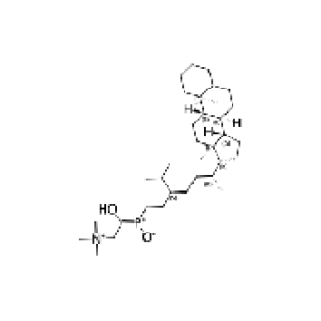 CC(C)[C@@H](CC[C@@H](C)[C@H]1CC[C@H]2[C@@H]3CCC4CCCC[C@]4(C)[C@H]3CC[C@]12C)CC[P+]([O-])=C(O)C[N+](C)(C)C